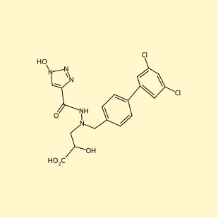 O=C(NN(Cc1ccc(-c2cc(Cl)cc(Cl)c2)cc1)CC(O)C(=O)O)c1cn(O)nn1